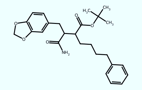 CC(C)(C)OC(=O)C(CCCCc1ccccc1)C(Cc1ccc2c(c1)OCO2)C(N)=O